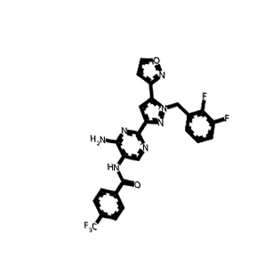 Nc1nc(-c2cc(-c3ccon3)n(Cc3cccc(F)c3F)n2)ncc1NC(=O)c1ccc(C(F)(F)F)cc1